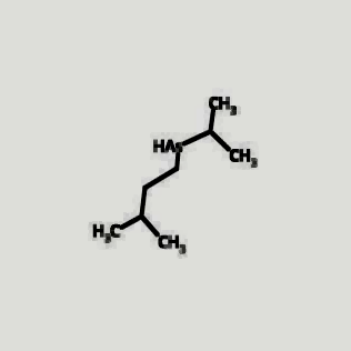 CC(C)CC[AsH]C(C)C